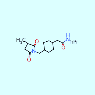 CCCNC(=O)CC1CCC(CN2C(=O)CC(C)C2=O)CC1